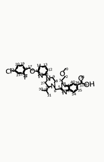 COCCn1c(CN2CCN(c3cccc(OCc4ccc(Cl)cc4F)n3)C[C@@H]2C(C)C)nc2ccc(C(=O)O)cc21